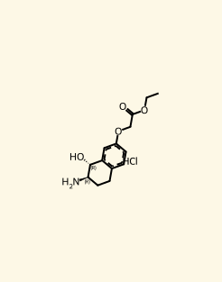 CCOC(=O)COc1ccc2c(c1)[C@@H](O)[C@H](N)CC2.Cl